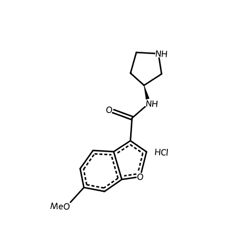 COc1ccc2c(C(=O)N[C@H]3CCNC3)coc2c1.Cl